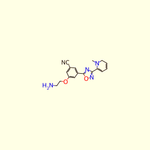 CN1CC=CC=C1c1noc(-c2cc(C#N)cc(OCCN)c2)n1